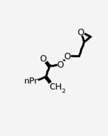 C=C(CCC)C(=O)OOCC1CO1